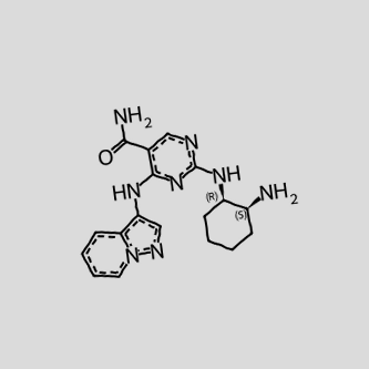 NC(=O)c1cnc(N[C@@H]2CCCC[C@@H]2N)nc1Nc1cnn2ccccc12